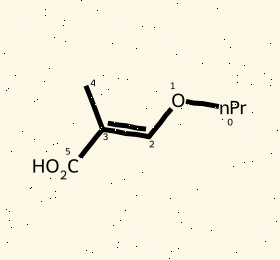 CCCO/C=C(\C)C(=O)O